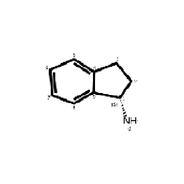 [NH][C@H]1CCc2ccccc21